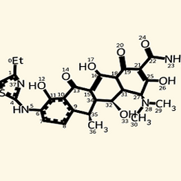 CCc1csc(Nc2ccc3c(c2O)C(=O)C2=C(O)C4C(=O)C(C(N)=O)=C(O)[C@@H](N(C)C)C4[C@@H](O)C2[C@H]3C)n1